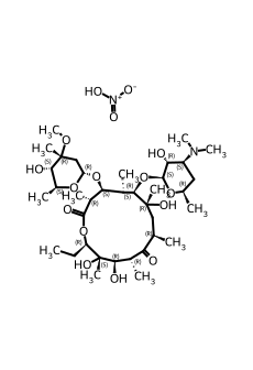 CC[C@H]1OC(=O)[C@H](C)[C@@H](O[C@H]2C[C@@](C)(OC)[C@@H](O)[C@H](C)O2)[C@H](C)[C@@H](O[C@@H]2O[C@H](C)C[C@H](N(C)C)[C@H]2O)[C@](C)(O)C[C@@H](C)C(=O)[C@H](C)[C@@H](O)[C@]1(C)O.O=[N+]([O-])O